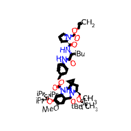 C=CCOC(=O)N1CCC[C@H]1C(=O)NC(C(=O)Nc1ccc(COC(=O)Nc2cc(O[Si](C(C)C)(C(C)C)C(C)C)c(OC)cc2C(=O)N2CC3(CC3)C[C@H]2CO[Si](C)(C)C(C)(C)C)cc1)C(C)CC